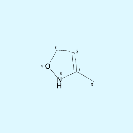 CC1=[C]CON1